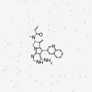 C=CC(=O)N(C)[C@H]1Cn2c(c(-c3cnc4ccccc4c3)c3c2=NCNC=3N)C1=C